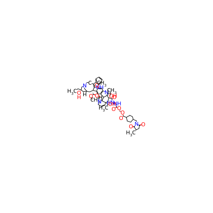 CC[C@]1(O)C[C@@H]2CN(CCc3c([nH]c4ccccc34)[C@@](C(=O)OC)(c3cc4c(cc3OC)N(C)[C@H]3[C@@](O)(C(=O)NNC(=O)OCOC(=O)C5CCC(CN6C(=O)CC(C)C6=O)CC5)[C@H](O)[C@]5(CC)C=CCN6CC[C@]43[C@@H]65)C2)C1